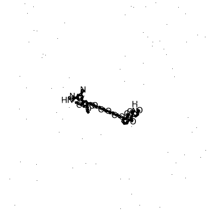 CCOc1cc(OCC)c(-c2cc(C#N)cc(-c3c[nH]cn3)c2)cc1COOCCOCCOCCOCCOc1cccc2c1C(=O)N(C1CCC(=O)NC1=O)C2=O